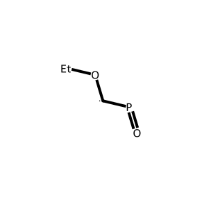 CCO[CH]P=O